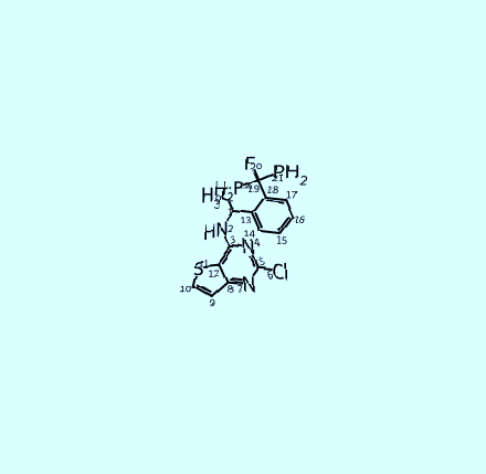 CC(Nc1nc(Cl)nc2ccsc12)c1ccccc1C(F)(P)P